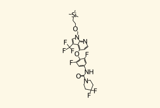 C[Si](C)(C)CCOCn1cc(C(F)(F)F)c2c(Oc3c(F)cc(NC(=O)N4CCC(F)(F)CC4)cc3F)ccnc21